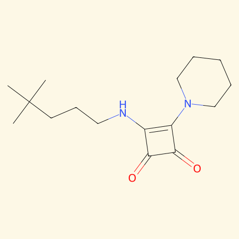 CC(C)(C)CCCNc1c(N2CCCCC2)c(=O)c1=O